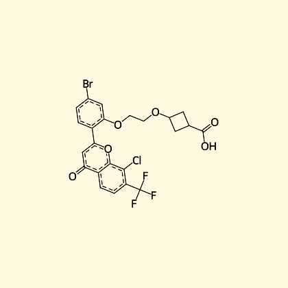 O=C(O)C1CC(OCCOc2cc(Br)ccc2-c2cc(=O)c3ccc(C(F)(F)F)c(Cl)c3o2)C1